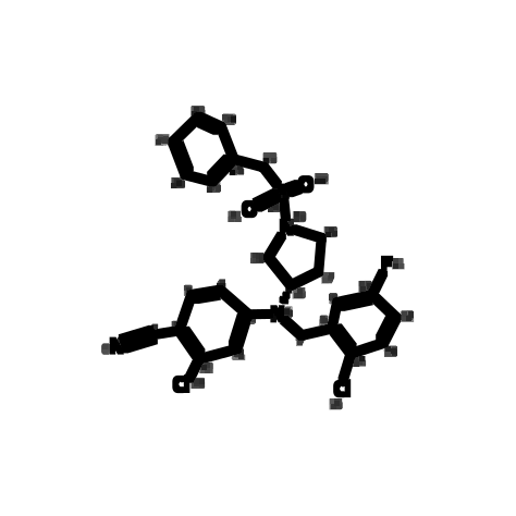 N#Cc1ccc(N(Cc2cc(F)ccc2Cl)[C@H]2CCN(S(=O)(=O)Cc3ccccc3)C2)cc1Cl